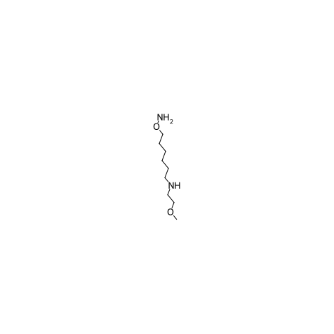 COCCNCCCCCCON